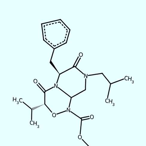 COC(=O)N1O[C@H](C(C)C)C(=O)N2C1CN(CC(C)C)C(=O)[C@@H]2Cc1ccccc1